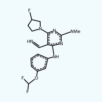 CNc1nc(Nc2cccc(OC(F)F)c2)c(C=N)c(N2CCC(F)C2)n1